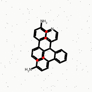 Nc1ccc(-c2ccccc2C(c2ccncc2)c2ccccc2-c2ccc(N)cc2)cc1